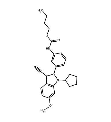 CCCCOC(=O)Nc1cccc(C2C(C#N)c3ccc(OC)cc3N2C2CCCC2)c1